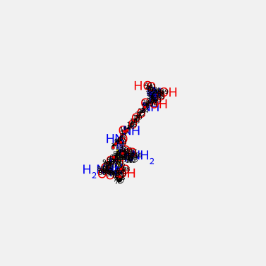 CCCC[C@H](NC(=O)CCC(=O)NCCCOCCOCCOCCCNC(=O)CCC(C(=O)O)N1CCN(CC(=O)O)CCN(CC(=O)O)CC1)C(=O)/N=C/C(CSCc1cccc(CSCC(NC(=O)[C@H](Cc2ccccc2)NC(=O)[C@H](CCC(N)=O)NC(=O)[C@@H](C)[C@@H](C)O)C(=O)O)c1)C(=O)N1CCC[C@H]1C(=O)N1CCC[C@H]1C(N)=O